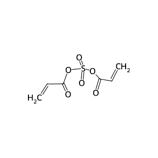 C=CC(=O)OS(=O)(=O)OC(=O)C=C